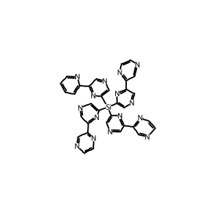 c1ccc(-c2cncc([Si](c3cncc(-c4cnccn4)n3)(c3cncc(-c4cnccn4)n3)c3cncc(-c4cnccn4)n3)n2)nc1